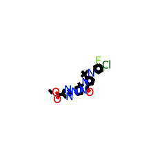 CCOC(=O)c1cnc(N2CCN(C(=O)c3ccc4c(n3)C(C)(C)CN4c3ccc(Cl)c(F)c3)C(C)(C)C2)nc1